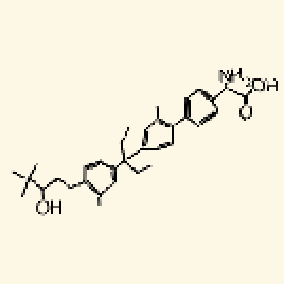 CCC(CC)(c1ccc(CCC(O)C(C)(C)C)c(C)c1)c1ccc(-c2ccc([C@@H](N)C(=O)O)cc2)c(C)c1